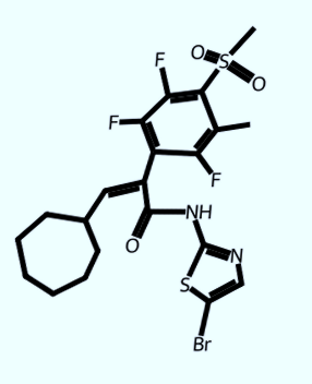 Cc1c(F)c(C(=CC2CCCCCC2)C(=O)Nc2ncc(Br)s2)c(F)c(F)c1S(C)(=O)=O